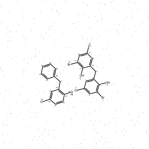 Oc1c(Br)cc(Cl)cc1Cc1cc(Cl)cc(Br)c1O.Oc1ccc(Cl)cc1Cc1ccccc1